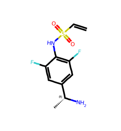 C=CS(=O)(=O)Nc1c(F)cc([C@@H](C)N)cc1F